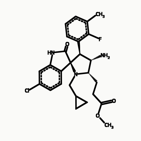 COC(=O)CC[C@H]1[C@@H](N)[C@H](c2cccc(C)c2F)[C@]2(C(=O)Nc3cc(Cl)ccc32)N1CC1CC1